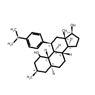 C[C@H]1CC(O)[C@H]2[C@@H](CC[C@@H]3[C@@H]2[C@@H](c2ccc(N(C)C)cc2)C[C@]2(C)[C@@H](O)CC[C@@H]32)C1